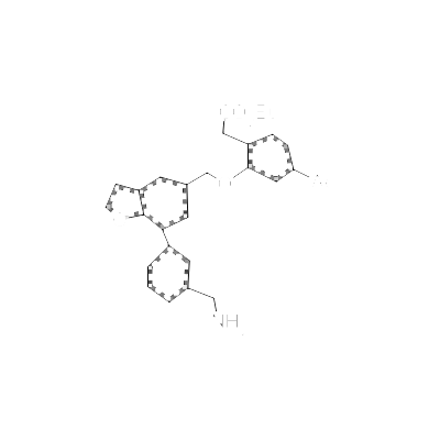 CCOC(=O)Cc1ccc(C(C)=O)cc1OCc1cc(-c2cccc(CN)c2)c2occc2c1